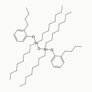 CCCCCCC[CH2][Sn]([CH2]CCCCCCC)([O]c1ccccc1CCCC)[O][Sn]([CH2]CCCCCCC)([CH2]CCCCCCC)[O]c1ccccc1CCCC